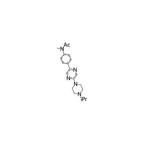 CC(=O)N(C)c1ccc(-c2cnc(N3CCN(C(C)C)CC3)cn2)cc1